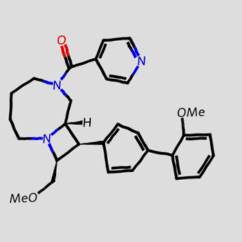 COC[C@@H]1[C@H](c2ccc(-c3ccccc3OC)cc2)[C@H]2CN(C(=O)c3ccncc3)CCCCN12